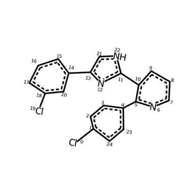 Clc1ccc(-c2ncccc2-c2nc(-c3cccc(Cl)c3)c[nH]2)cc1